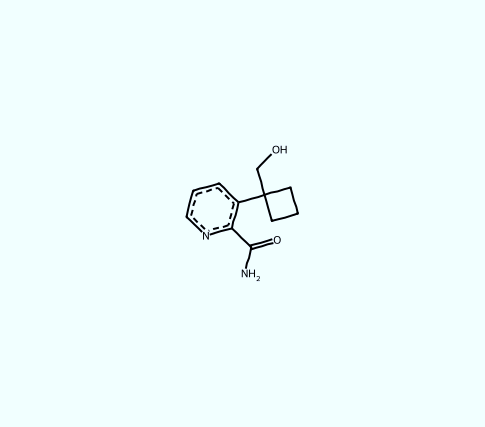 NC(=O)c1ncccc1C1(CO)CCC1